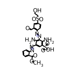 COC(=O)c1ccccc1/N=N/c1cc(S(=O)(=O)O)c(N)c(/N=N/c2ccc(S(=O)(=O)CCO)cc2C=O)c1N